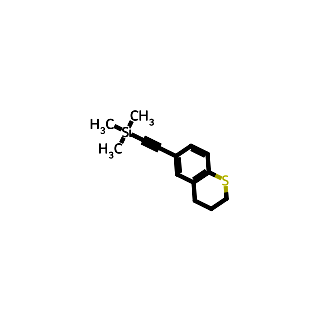 C[Si](C)(C)C#Cc1ccc2c(c1)CCCS2